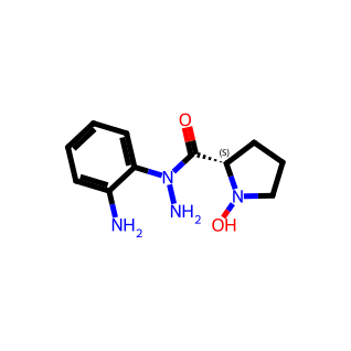 Nc1ccccc1N(N)C(=O)[C@@H]1CCCN1O